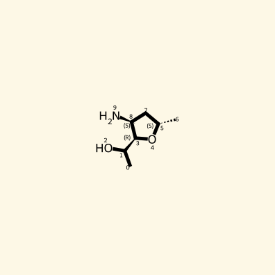 CC(O)[C@@H]1O[C@@H](C)C[C@@H]1N